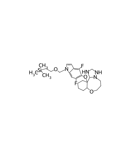 C[Si](C)(C)CCOCn1ccc2c(F)c(OC34CCCCC3OCCCN3NCNC34)c(F)cc21